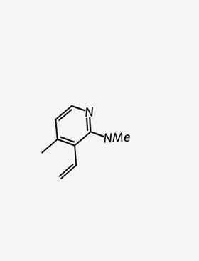 C=Cc1c(C)ccnc1NC